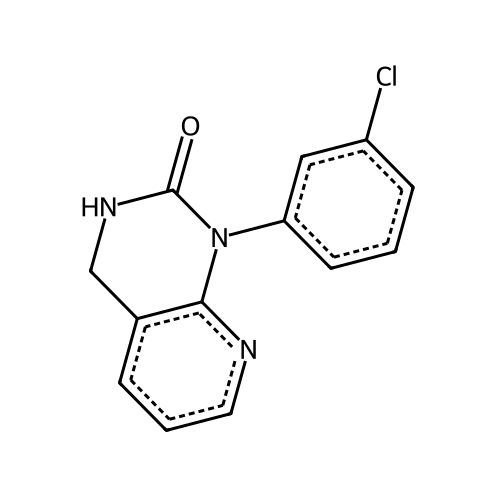 O=C1NCc2cccnc2N1c1cccc(Cl)c1